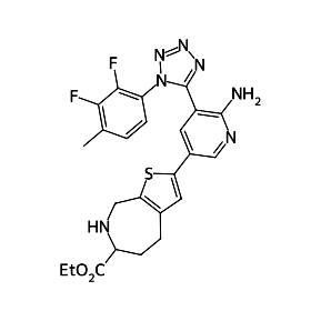 CCOC(=O)C1CCc2cc(-c3cnc(N)c(-c4nnnn4-c4ccc(C)c(F)c4F)c3)sc2CN1